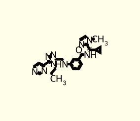 CCCn1c(CNc2cccc(C(=O)N[C@H](c3nccn3C)C3CC3)c2)nnc1-c1ccncn1